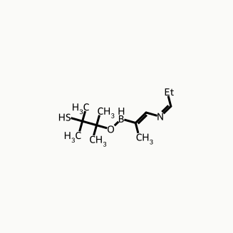 CC/C=N\C=C(/C)BOC(C)(C)C(C)(C)S